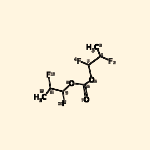 CC(F)C(F)OC(=O)OC(F)C(C)F